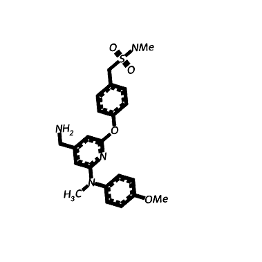 CNS(=O)(=O)Cc1ccc(Oc2cc(CN)cc(N(C)c3ccc(OC)cc3)n2)cc1